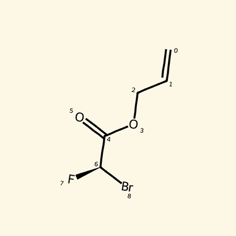 C=CCOC(=O)[C@H](F)Br